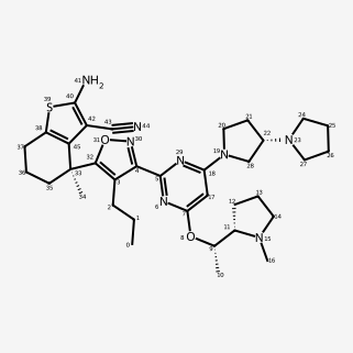 CCCc1c(-c2nc(O[C@@H](C)[C@@H]3CCCN3C)cc(N3CC[C@H](N4CCCC4)C3)n2)noc1[C@@]1(C)CCCc2sc(N)c(C#N)c21